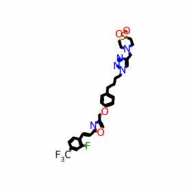 O=S1(=O)CCN(Cc2cn(CCCCc3ccc(OCc4coc(C=Cc5ccc(C(F)(F)F)cc5F)n4)cc3)nn2)CC1